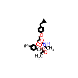 C=CC(=O)OC(C)NC(=O)OC(COc1ccc(CC2CC2)cc1)COc1cc(C(C)C)ccc1C